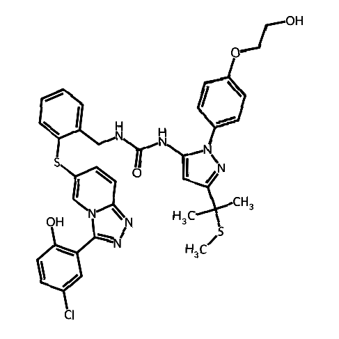 CSC(C)(C)c1cc(NC(=O)NCc2ccccc2Sc2ccc3nnc(-c4cc(Cl)ccc4O)n3c2)n(-c2ccc(OCCO)cc2)n1